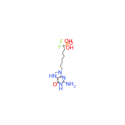 Nc1nc2c(c(=O)[nH]1)NCN2CCCCCCCC(F)(F)P(=O)(O)O